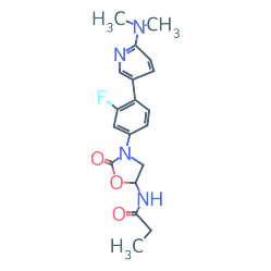 CCC(=O)NC1CN(c2ccc(-c3ccc(N(C)C)nc3)c(F)c2)C(=O)O1